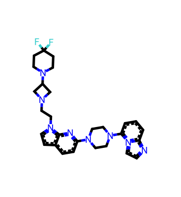 FC1(F)CCN(C2CN(CCn3ccc4ccc(N5CCN(c6cccc7nccn67)CC5)nc43)C2)CC1